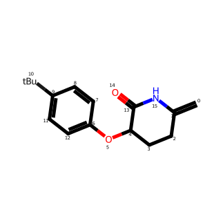 C=C1CCC(Oc2ccc(C(C)(C)C)cc2)C(=O)N1